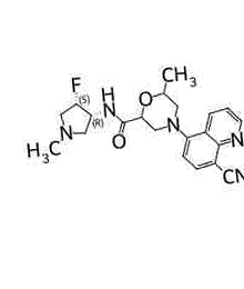 CC1CN(c2ccc(C#N)c3ncccc23)CC(C(=O)N[C@@H]2CN(C)C[C@@H]2F)O1